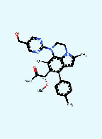 COC(=O)[C@@H](OC(C)(C)C)c1c(C)c2c3c(cc(C)n3CCN2c2ncc(CO)cn2)c1-c1ccc(C)cc1